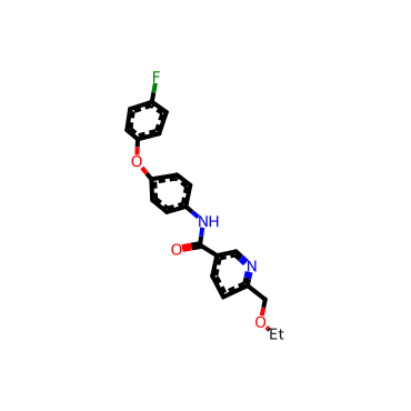 CCOCc1ccc(C(=O)Nc2ccc(Oc3ccc(F)cc3)cc2)cn1